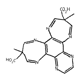 CC1(C(=O)O)C=Nc2c3c(c4nccnc4c2N=C1)N=CC(C)(C(=O)O)C=N3